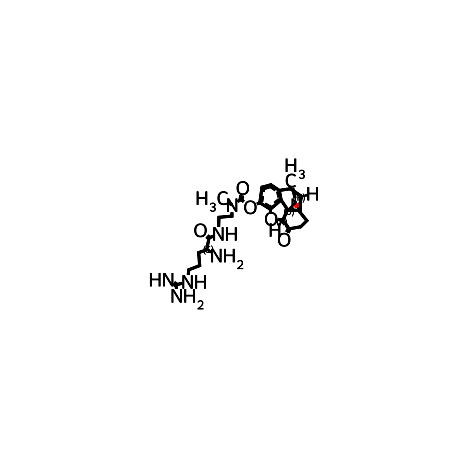 CN(CCNC(=O)[C@@H](N)CCCNC(=N)N)C(=O)Oc1ccc2c3c1O[C@H]1C(=O)CCC4[C@@H](C2)N(C)C[C@@]341